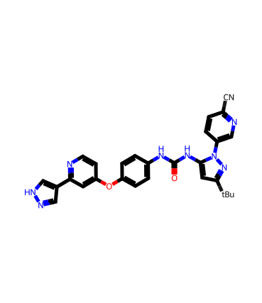 CC(C)(C)c1cc(NC(=O)Nc2ccc(Oc3ccnc(-c4cn[nH]c4)c3)cc2)n(-c2ccc(C#N)nc2)n1